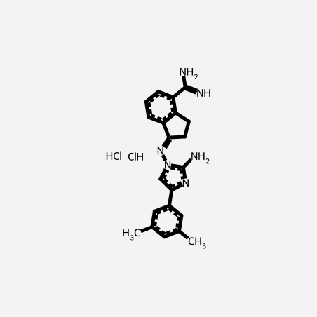 Cc1cc(C)cc(-c2cn(/N=C3\CCc4c(C(=N)N)cccc43)c(N)n2)c1.Cl.Cl